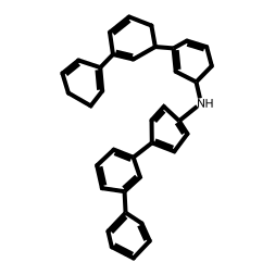 C1=CC(C2=CC(C3=CC(Nc4ccc(-c5cccc(-c6ccccc6)c5)cc4)CC=C3)CC=C2)=CCC1